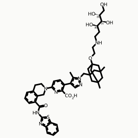 Cc1c(-c2ccc(N3CCc4cccc(C(=O)Nc5nc6ccccc6s5)c4C3)nc2C(=O)O)cnn1CC12CC3(C)CC(C)(C1)CC(OCCNCC[C@@H](O)[C@H](O)[C@H](O)CO)(C3)C2